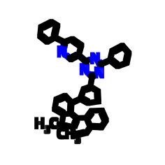 CC1(C)c2cccc(-c3cccc(-c4nc(-c5ccccc5)nc(-c5ccc(-c6ccccc6)nc5)n4)c3)c2-c2c1ccc1ccccc21